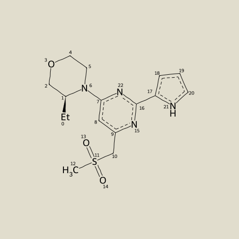 CC[C@H]1COCCN1c1cc(CS(C)(=O)=O)nc(-c2ccc[nH]2)n1